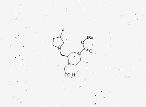 C[C@@H]1CN(CC(=O)O)[C@@H](CN2CCC(F)C2)CN1C(=O)OC(C)(C)C